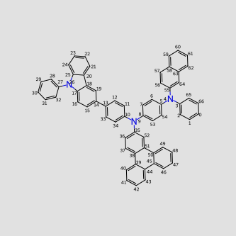 c1ccc(N(c2ccc(N(c3ccc(-c4ccc5c(c4)c4ccccc4n5-c4ccccc4)cc3)c3ccc4c5ccccc5c5ccccc5c4c3)cc2)c2ccc3ccccc3c2)cc1